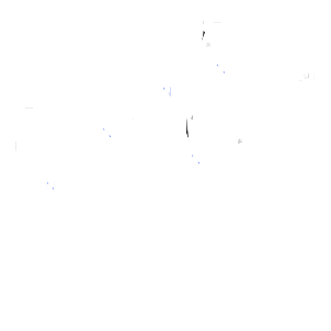 C[C@@H]1COCCN1C[C@@H]1CN(C(=O)OC(C)(C)C)[C@H](C)CN1CC(=O)N1CC(C)(C)c2ncc(Cc3ccccc3F)cc21